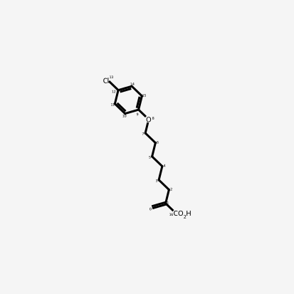 C=C(CCCCCCOc1ccc(Cl)cc1)C(=O)O